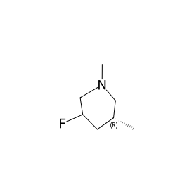 C[C@@H]1CC(F)CN(C)C1